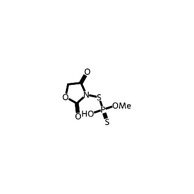 COP(O)(=S)SN1C(=O)COC1=O